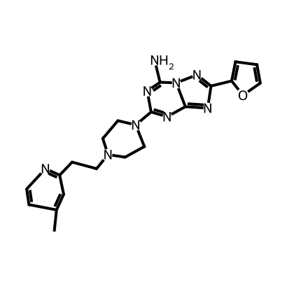 Cc1ccnc(CCN2CCN(c3nc(N)n4nc(-c5ccco5)nc4n3)CC2)c1